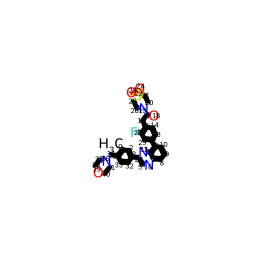 Cc1cc(-c2cnc3cccc(-c4ccc(CC(=O)N5CCS(=O)(=O)CC5)c(F)c4)c3n2)ccc1CN1CCOCC1